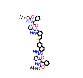 COC(=O)N[C@@H](C(=O)N1CCC[C@H]1c1nc2ccc3cc(-c4cc5ccc6nc([C@@H]7CCCN7C(=O)[C@H](NC(=O)OC)c7ccccc7)[nH]c6c5s4)ccc3c2[nH]1)c1ccccc1